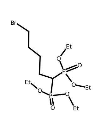 CCOP(=O)(OCC)C(CCCCBr)P(=O)(OCC)OCC